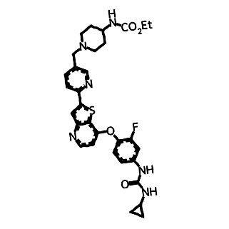 CCOC(=O)NC1CCN(Cc2ccc(-c3cc4nccc(Oc5ccc(NC(=O)NC6CC6)cc5F)c4s3)nc2)CC1